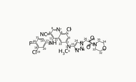 CN(c1cc(Cl)c2ncc(C#N)c(Nc3ccc(F)c(Cl)c3)c2c1)c1cn(CS(=O)(=O)N2CCOCC2)nn1